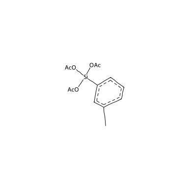 CC(=O)O[Si](OC(C)=O)(OC(C)=O)c1cccc(C)c1